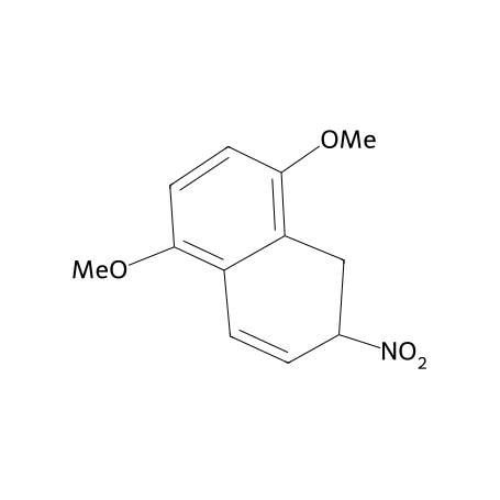 COc1ccc(OC)c2c1C=CC([N+](=O)[O-])C2